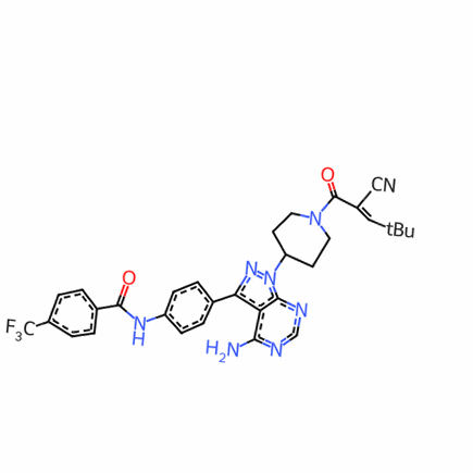 CC(C)(C)C=C(C#N)C(=O)N1CCC(n2nc(-c3ccc(NC(=O)c4ccc(C(F)(F)F)cc4)cc3)c3c(N)ncnc32)CC1